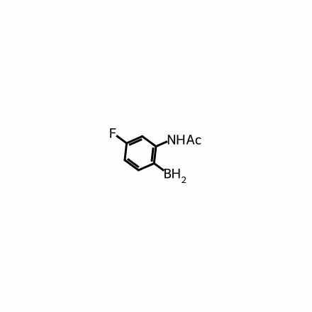 Bc1ccc(F)cc1NC(C)=O